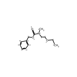 CCOCCN(C)C(=O)OCc1ccccc1